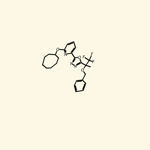 CC(OCc1ccccc1)(c1nnc(-c2cccc(OC3CCCCCCC3)n2)o1)C(F)(F)F